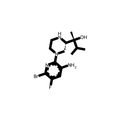 CC(C)[C@@](C)(O)[C@@H]1CN(c2nc(Br)c(F)cc2N)CCN1